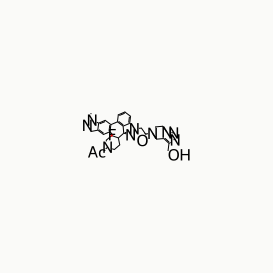 CC(=O)N1CCC(c2nn(CC(=O)N3CCn4nnc(CO)c4C3)c3cccc(-c4cc5c(cnn5C)cc4F)c23)CC1